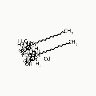 CCCCCCCCCCCCCCCCCCOc1c(C)cc(CP(=O)(O)O)cc1C(C)(C)C.CCCCCCCCCCCCCCCCCCOc1c(C)cc(CP(=O)(O)O)cc1C(C)(C)C.[Cd]